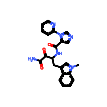 Cn1cc(CC(NC(=O)c2cncn2-c2ccccn2)C(=O)C(N)=O)c2ccccc21